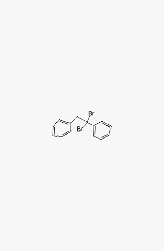 BrC(Br)(Cc1ccccc1)c1ccccc1